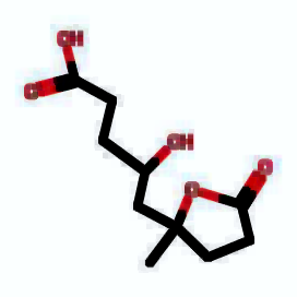 CC1(CC(O)CCC(=O)O)CCC(=O)O1